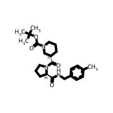 Cc1ccc(CNC(=O)[C@H]2CCCN2C(=O)[C@H]2CCCN(C(=O)OC(C)(C)C)C2)cc1